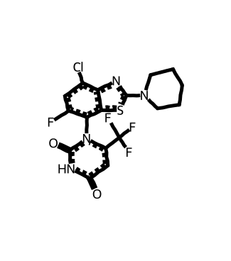 O=c1cc(C(F)(F)F)n(-c2c(F)cc(Cl)c3nc(N4CCCCC4)sc23)c(=O)[nH]1